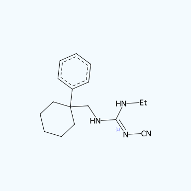 CCN/C(=N\C#N)NCC1(c2ccccc2)CCCCC1